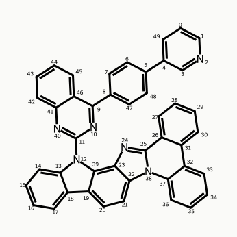 c1cncc(-c2ccc(-c3nc(-n4c5ccccc5c5ccc6c(nc7c8ccccc8c8ccccc8n67)c54)nc4ccccc34)cc2)c1